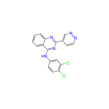 Clc1ccc(Nc2nc(-c3ccnnc3)nc3ccccc23)cc1Cl